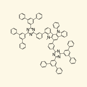 Cn1c2c(-c3cccc(-c4nc(-c5cc(-c6ccccc6)cc(-c6ccccc6)c5)nc(-c5cc(-c6ccccc6)cc(-c6ccccc6)c5)n4)c3)cccc2c2c1c(-c1cccc(-c3nc(-c4cc(-c5ccccc5)cc(-c5ccccc5)c4)nc(-c4cc(-c5ccccc5)cc(-c5ccccc5)c4)n3)c1)cc1c3ccccc3n(-c3ccccc3)c12